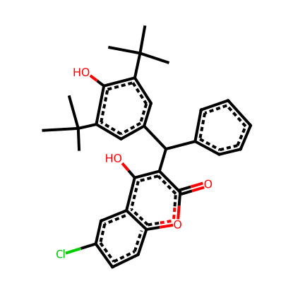 CC(C)(C)c1cc(C(c2ccccc2)c2c(O)c3cc(Cl)ccc3oc2=O)cc(C(C)(C)C)c1O